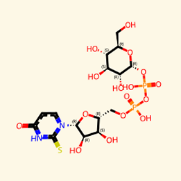 O=c1ccn([C@@H]2O[C@H](COP(=O)(O)OP(=O)(O)O[C@H]3O[C@H](CO)[C@@H](O)[C@H](O)[C@H]3O)[C@@H](O)[C@H]2O)c(=S)[nH]1